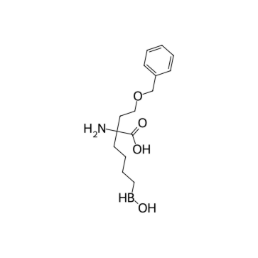 NC(CCCCBO)(CCOCc1ccccc1)C(=O)O